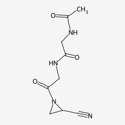 CC(=O)NCC(=O)NCC(=O)N1CC1C#N